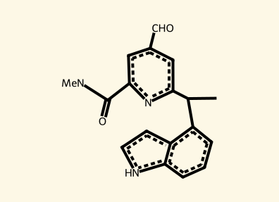 CNC(=O)c1cc(C=O)cc(C(C)c2cccc3[nH]ccc23)n1